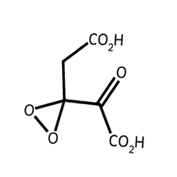 O=C(O)CC1(C(=O)C(=O)O)OO1